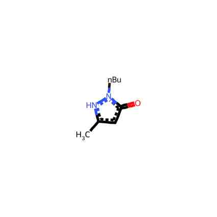 CCCCn1[nH]c(C)cc1=O